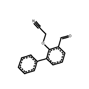 N#CCOc1c([C]=O)cccc1-c1ccccc1